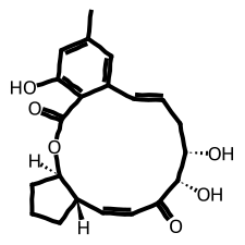 Cc1cc(O)c2c(c1)/C=C/C[C@H](O)[C@H](O)C(=O)/C=C\[C@@H]1CCC[C@H]1OC2=O